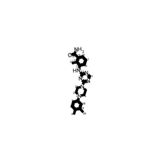 Cc1ccc(N2CCN(c3ncnc(Nc4cccc(C(N)=O)c4C)n3)CC2)cc1C